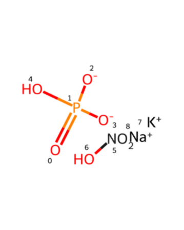 O=P([O-])([O-])O.O=[N+]([O-])O.[K+].[Na+]